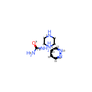 C1CNCCN1.NC(N)=O.c1ccnnc1